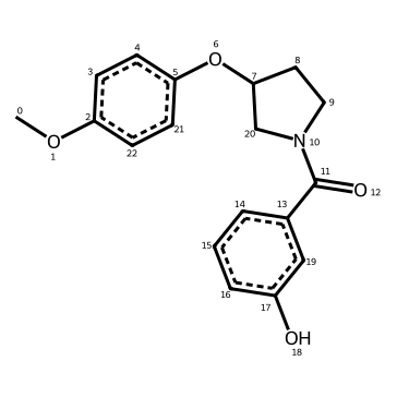 COc1ccc(OC2CCN(C(=O)c3cccc(O)c3)C2)cc1